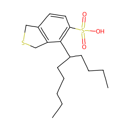 CCCCCC(CCCC)c1c(S(=O)(=O)O)ccc2c1CSC2